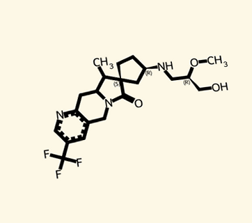 CO[C@@H](CO)CN[C@@H]1CC[C@@]2(C1)C(=O)N1Cc3cc(C(F)(F)F)cnc3CC1C2C